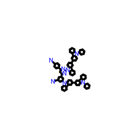 N#Cc1ccc(-c2cc(-c3cc(C#N)cc(-n4c5ccccc5c5cc(-c6ccc7c(c6)c6ccccc6n7-c6ccccc6)ccc54)c3)nc(-n3c4ccccc4c4cc(-c5ccc6c(c5)c5ccccc5n6-c5ccccc5)ccc43)n2)cc1